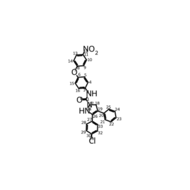 O=C(Nc1ccc(Oc2ccc([N+](=O)[O-])cc2)cc1)N1CC(c2ccccc2)=C(c2ccc(Cl)cc2)N1